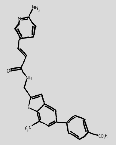 Nc1ccc(/C=C/C(=O)NCc2cc3cc(-c4ccc(C(=O)O)cc4)cc(C(F)(F)F)c3s2)cn1